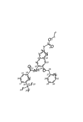 CCOC(=O)Cn1cc2cc(NC(=O)c3cccc(C(F)(F)F)n3)c(OCc3ccccn3)cc2n1